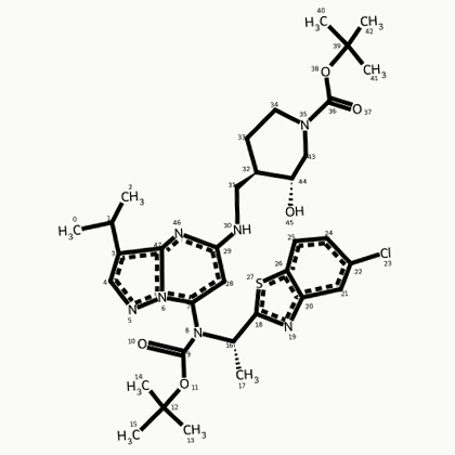 CC(C)c1cnn2c(N(C(=O)OC(C)(C)C)[C@@H](C)c3nc4cc(Cl)ccc4s3)cc(NC[C@H]3CCN(C(=O)OC(C)(C)C)C[C@@H]3O)nc12